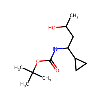 CC(O)CC(NC(=O)OC(C)(C)C)C1CC1